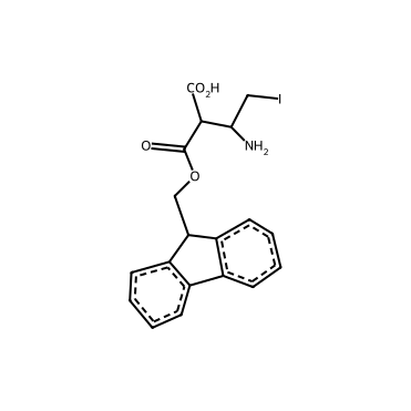 NC(CI)C(C(=O)O)C(=O)OCC1c2ccccc2-c2ccccc21